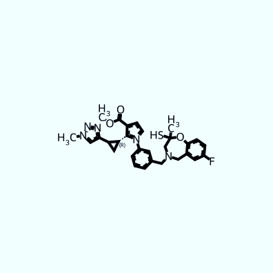 COC(=O)c1ccn(-c2cccc(CN3Cc4cc(F)ccc4OC(C)(S)C3)c2)c1[C@@H]1CC1c1cn(C)nn1